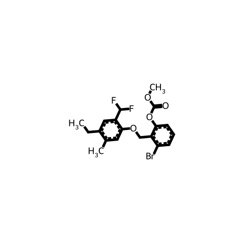 CCc1cc(C(F)F)c(OCc2c(Br)cccc2OC(=O)OC)cc1C